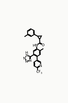 Cc1cccc(C2CC2C(=O)Nc2cc(-c3nnn[nH]3)c(-c3ccc(C(F)(F)F)nc3)cc2C)c1